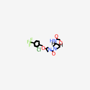 O=C1CO[C@H]2CCN(C(=O)N3CC(OCc4ccc(C(F)(F)F)cc4Cl)C3)C[C@@H]2N1